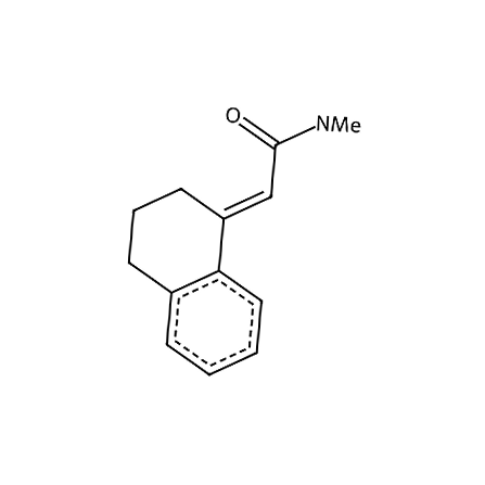 CNC(=O)C=C1CCCc2ccccc21